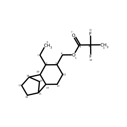 CCC1C(COC(=O)C(C)(F)F)CCC2C3CCC(C3)C12